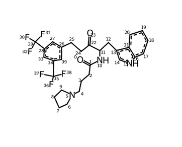 O=C(CCCN1CCCC1)NC(Cc1c[nH]c2ccccc12)C(=O)CCc1cc(C(F)(F)F)cc(C(F)(F)F)c1